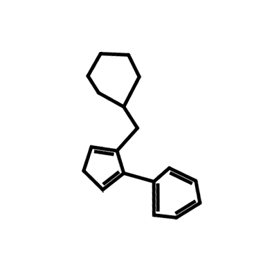 [C]1=C(c2ccccc2)C(CC2CCCCC2)=CC1